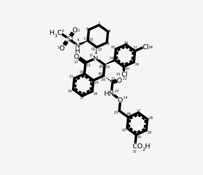 CS(=O)(=O)N[C@H]1CCCC[C@@H]1N1C(=O)c2ccccc2[C@@H](C(=O)NOCc2cccc(C(=O)O)c2)[C@@H]1c1ccc(Cl)cc1Cl